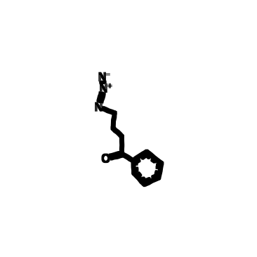 [N-]=[N+]=NCCCC(=O)c1ccccc1